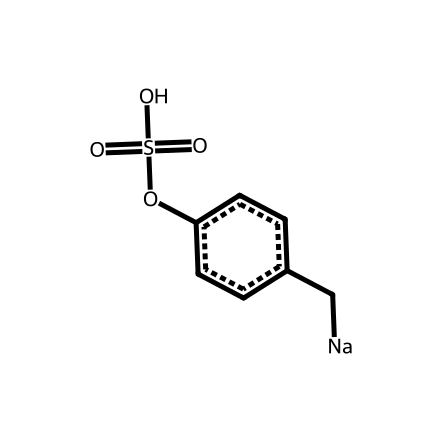 O=S(=O)(O)Oc1ccc([CH2][Na])cc1